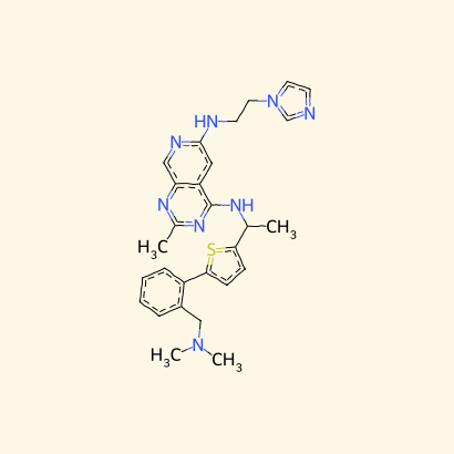 Cc1nc(NC(C)c2ccc(-c3ccccc3CN(C)C)s2)c2cc(NCCn3ccnc3)ncc2n1